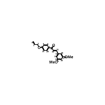 C=CCOc1ccc(C(=O)C=Cc2cc(OC)cc(OC)c2)cc1